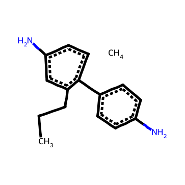 C.CCCc1cc(N)ccc1-c1ccc(N)cc1